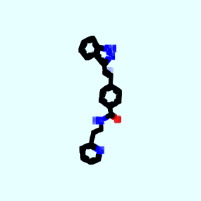 O=C(NCCc1ccccn1)c1ccc(/C=C/c2n[nH]c3ccccc23)cc1